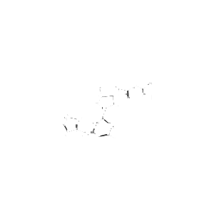 Cc1cc(Nc2cc[nH]n2)nc(N2C[C@@H](O)[C@H](NC(=O)OC(C)C)C2)n1